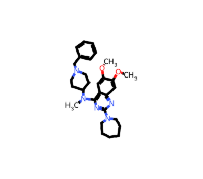 COc1cc2nc(N3CCCCCC3)nc(N(C)C3CCN(Cc4ccccc4)CC3)c2cc1OC